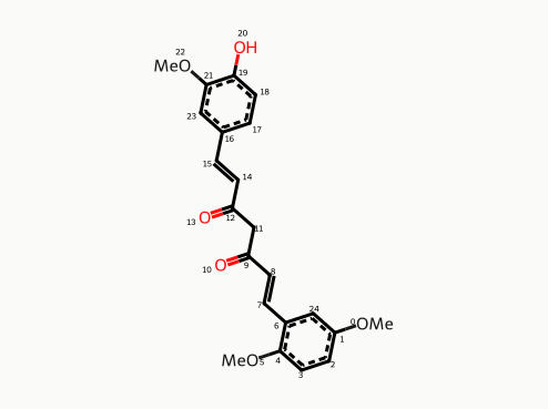 COc1ccc(OC)c(/C=C/C(=O)CC(=O)/C=C/c2ccc(O)c(OC)c2)c1